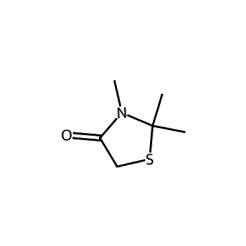 CN1C(=O)CSC1(C)C